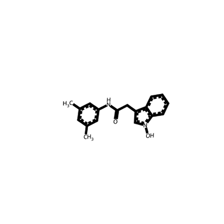 Cc1cc(C)cc(NC(=O)Cc2cn(O)c3ccccc23)c1